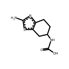 Nc1nc2c(s1)CC(NC(=O)O)CC2